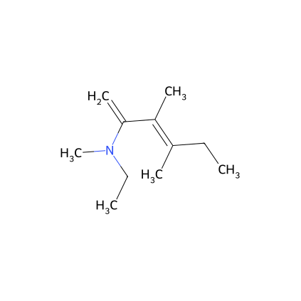 C=C(/C(C)=C(\C)CC)N(C)CC